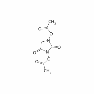 CC(=O)ON1CC(=O)N(OC(C)=O)C1=O